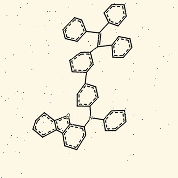 c1ccc(C(=C(c2ccccc2)c2cccc(-c3ccc(N(c4ccccc4)c4cccc5c4oc4ccccc45)cc3)c2)c2ccccc2)cc1